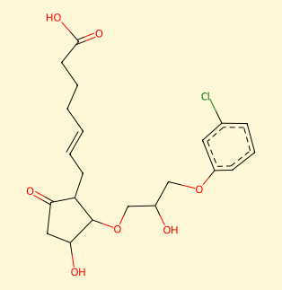 O=C(O)CCCC=CCC1C(=O)CC(O)C1OCC(O)COc1cccc(Cl)c1